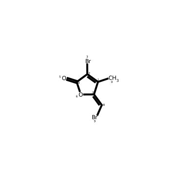 CC1=C(Br)C(=O)O/C1=C\Br